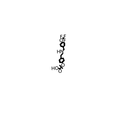 CC(C)(Oc1ccc(CCNCc2ccc(OC(F)(F)F)cc2)cc1)C(=O)O